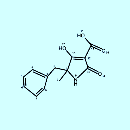 CC1(Cc2ccccc2)NC(=O)C(C(=O)O)=C1O